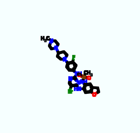 CN1CCN(C2CCN(c3ccc(Nc4ncc(Br)c(Nc5cc6c(cc5NS(C)(=O)=O)CCO6)n4)cc3F)CC2)CC1